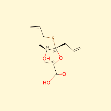 C=CCS[C@](CC=C)(O[C@@H](C)C(=O)O)[C@H](C)O